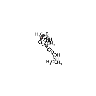 COC(=O)C1=C(C(F)(F)F)NC(C)=C(C(=O)OCc2ccc(OCC(O)CNC(C)C)cc2)C1c1ccccc1F.Cl